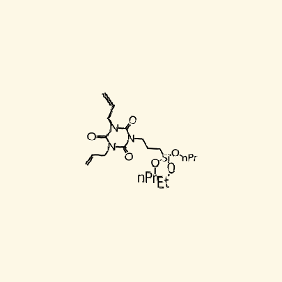 C=CCn1c(=O)n(CC=C)c(=O)n(CCC[Si](OCC)(OCCC)OCCC)c1=O